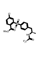 COC(=O)c1ccc(Cl)cc1S(=O)(=O)c1ccc(C[C@@H](C)NC(=O)C(F)(F)F)cc1